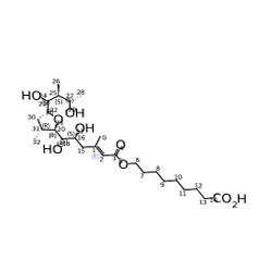 C/C(=C\C(=O)OCCCCCCCCC(=O)O)C[C@H](O)[C@H](O)[C@@H]1O[C@@H]([C@@H](O)[C@@H](C)[C@H](C)O)C[C@H]1C